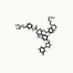 COCCCN1CCOc2ccc(COC3CN(C(=O)Oc4cccc(CON(O)O)c4)CC(O)C3c3ccc(OC4CCN(c5cccc(F)c5)C4)cc3)cc21